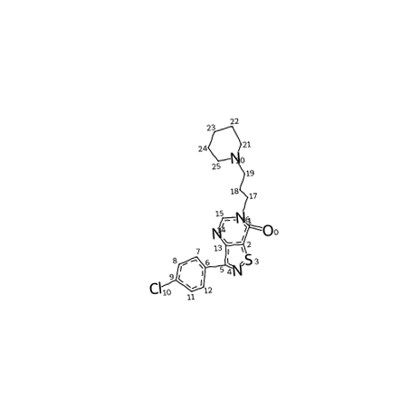 O=c1c2snc(-c3ccc(Cl)cc3)c2ncn1CCCN1CCCCC1